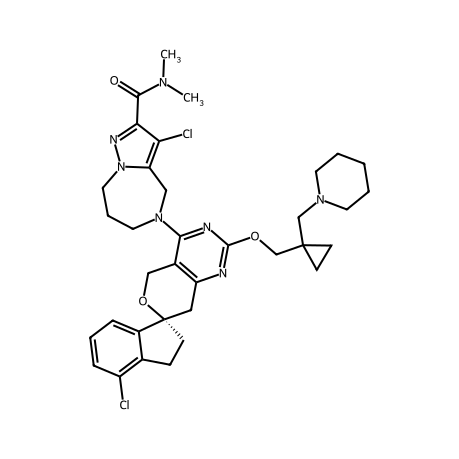 CN(C)C(=O)c1nn2c(c1Cl)CN(c1nc(OCC3(CN4CCCCC4)CC3)nc3c1CO[C@@]1(CCc4c(Cl)cccc41)C3)CCC2